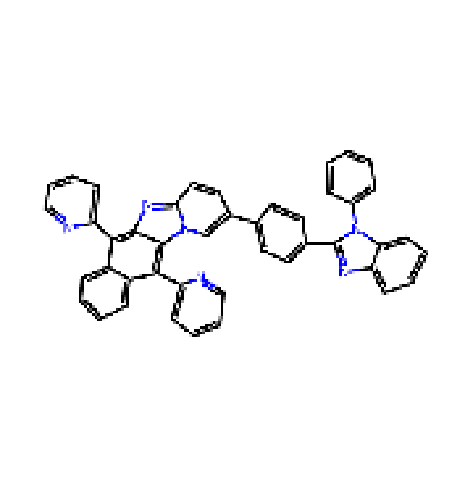 c1ccc(-n2c(-c3ccc(-c4ccc5nc6c(-c7ccccn7)c7ccccc7c(-c7ccccn7)c6n5c4)cc3)nc3ccccc32)cc1